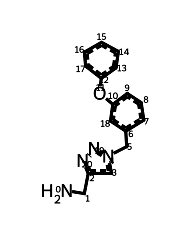 NCc1cn(Cc2cccc(Oc3ccccc3)c2)nn1